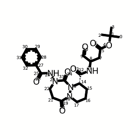 CC(C)(C)OC(=O)CC(C=O)NC(=O)[C@@H]1CCCN2C(=O)CCN(NC(=O)c3ccccc3)C(=O)N12